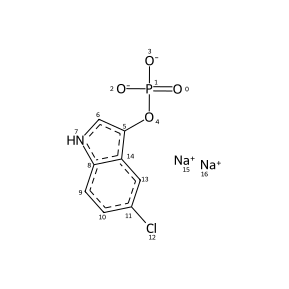 O=P([O-])([O-])Oc1c[nH]c2ccc(Cl)cc12.[Na+].[Na+]